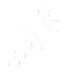 CCc1ccc2c(c1)[CH]([Zr+2][CH]1C(C)=Cc3c(-c4ccc5ccccc5c4)cccc31)c1cc(CC)ccc1-2.[Cl-].[Cl-]